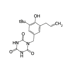 C=CCc1cc(Cn2c(=O)[nH]c(=O)[nH]c2=O)cc(C(C)(C)C)c1O